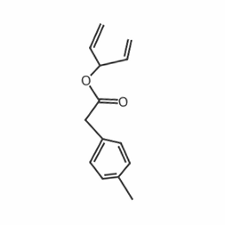 C=CC(C=C)OC(=O)Cc1ccc(C)cc1